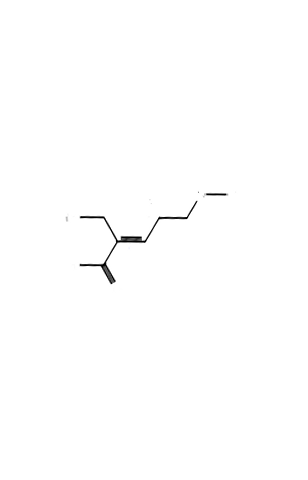 CC(C)C/C(=C\[C@H](O)CNC(C)C)C(=O)C(C)C